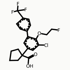 O=C(O)C1(c2cc(Cl)c(OCCF)c(-c3ccc(C(F)(F)F)cc3)c2)CCCC1